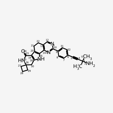 CC(C)(N)C#Cc1ccc(-c2ncc3c(n2)-c2[nH]c4c(c2CC3)C(=O)NC2(CCC2)C4)cc1